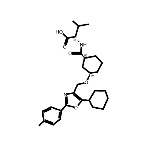 Cc1ccc(-c2nc(CO[C@@H]3CCC[C@H](C(=O)N[C@H](C(=O)O)C(C)C)C3)c(C3CCCCC3)o2)cc1